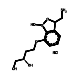 Cl.NCC1OB(O)c2c(OCC[C@H](O)CO)cccc21